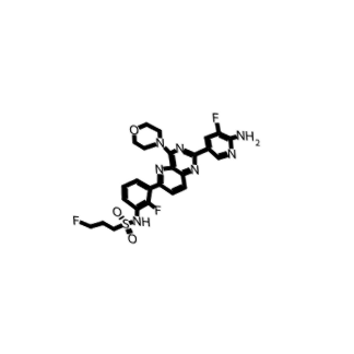 Nc1ncc(-c2nc(N3CCOCC3)c3nc(-c4cccc(NS(=O)(=O)CCCF)c4F)ccc3n2)cc1F